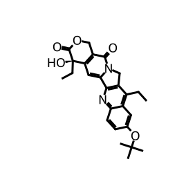 CCc1c2c(nc3ccc(OC(C)(C)C)cc13)-c1cc3c(c(=O)n1C2)COC(=O)[C@@]3(O)CC